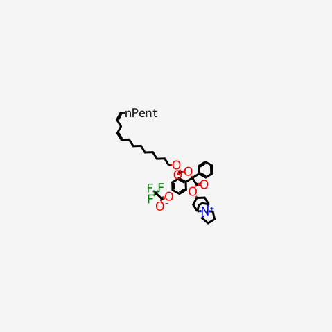 CCCCC/C=C\C/C=C\CCCCCCCCOC(=O)OC(C(=O)OC1CC2CCC(C1)[N+]21CCCC1)(c1ccccc1)c1ccccc1.O=C([O-])C(F)(F)F